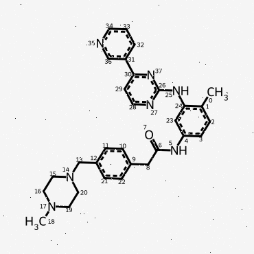 Cc1ccc(NC(=O)Cc2ccc(CN3CCN(C)CC3)cc2)cc1Nc1nccc(-c2cccnc2)n1